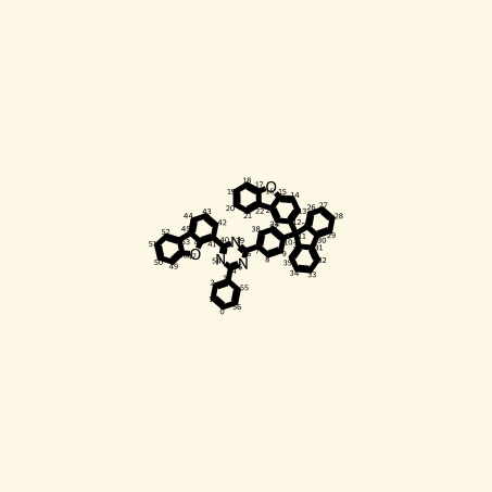 c1ccc(-c2nc(-c3ccc(C4(c5ccc6oc7ccccc7c6c5)c5ccccc5-c5ccccc54)cc3)nc(-c3cccc4c3oc3ccccc34)n2)cc1